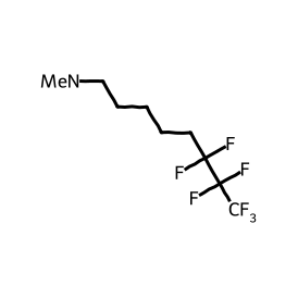 CNCCCCCC(F)(F)C(F)(F)C(F)(F)F